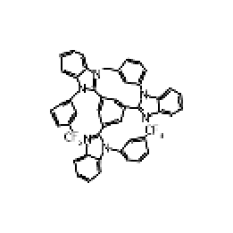 Cc1cccc(-n2c(-c3cc(-c4nc5ccccc5n4-c4cccc(C(F)(F)F)c4)cc(-c4nc5ccccc5n4-c4cccc(C(F)(F)F)c4)c3)nc3ccccc32)c1